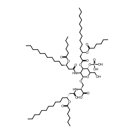 CCCCCCCCCCC[C@H](CC(=O)NC1C(OC(=O)C[C@@H](CCCCCCCCCCC)OC(=O)CCCCC)[C@H](OP(=O)(O)O)C(CO)O[C@H]1OC[C@H](NC(=O)C[C@@H](CCCCCCCCCCC)OC(=O)CCCCC)C(=O)O)OC(=O)CCCCC